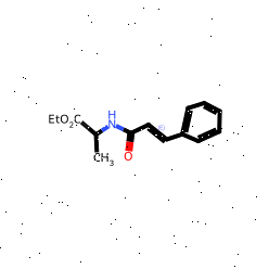 CCOC(=O)C(C)NC(=O)/C=C/c1ccccc1